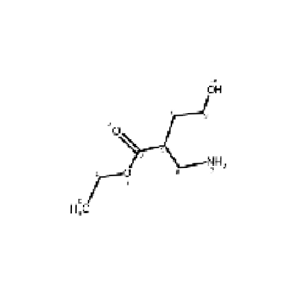 CCOC(=O)C(CN)CCO